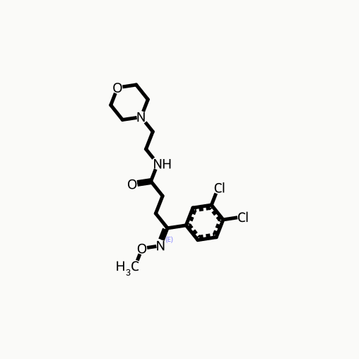 CO/N=C(\CCC(=O)NCCN1CCOCC1)c1ccc(Cl)c(Cl)c1